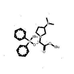 CN(C)C1CCN([C@@H](O[Si](c2ccccc2)(c2ccccc2)C(C)(C)C)C(=O)OC(C)(C)C)C1